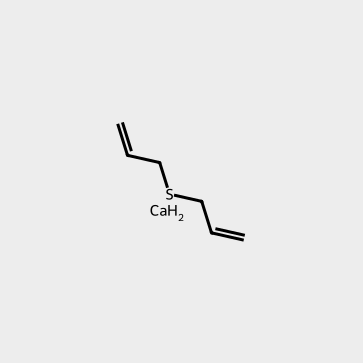 C=CCSCC=C.[CaH2]